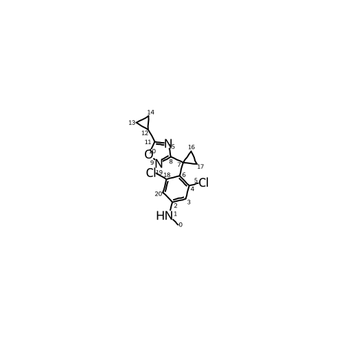 CNc1cc(Cl)c(C2(c3noc(C4CC4)n3)CC2)c(Cl)c1